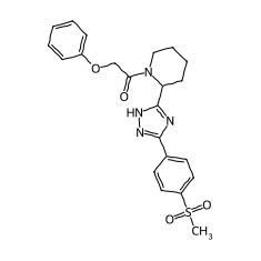 CS(=O)(=O)c1ccc(-c2n[nH]c(C3CCCCN3C(=O)COc3ccccc3)n2)cc1